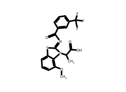 COc1cccc2sc(=NC(=O)c3cccc(C(F)(F)F)c3)n(C(C)C(=O)O)c12